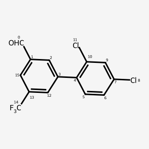 O=Cc1cc(-c2ccc(Cl)cc2Cl)cc(C(F)(F)F)c1